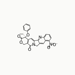 CC[C@@]1(Oc2ccccc2)C(=O)OCc2c1cc1n(c2=O)Cc2cc3c([N+](=O)[O-])cccc3nc2-1